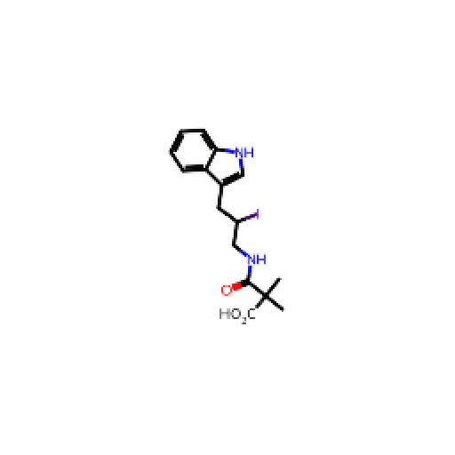 CC(C)(C(=O)O)C(=O)NCC(I)Cc1c[nH]c2ccccc12